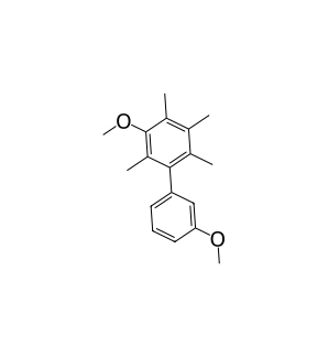 COc1cccc(-c2c(C)c(C)c(C)c(OC)c2C)c1